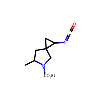 CCOC(=O)N1CC2(CC1C)CC2N=C=O